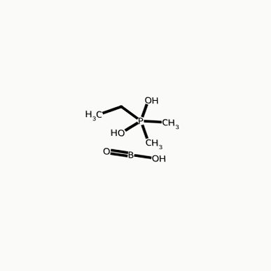 CCP(C)(C)(O)O.O=BO